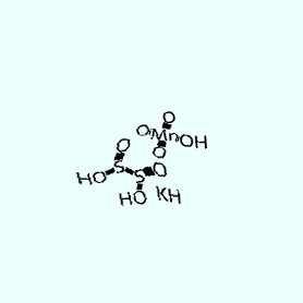 O=S(O)S(=O)O.[KH].[O]=[Mn](=[O])(=[O])[OH]